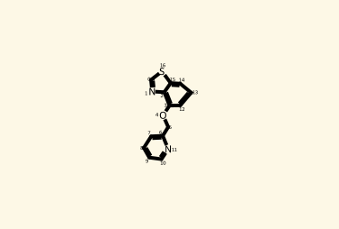 [c]1nc2c(OCc3ccccn3)cccc2s1